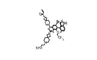 C=CC(=O)N1CC2(CCN(c3nc(N4CC5(CCN(CCOCC)CC5)C4)nc4c(OCC(F)(F)F)c(-c5c(C)ccc6[nH]ncc56)c(C5CC5)cc34)CC2)C1